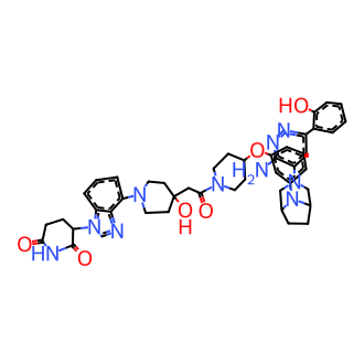 Nc1nnc(-c2ccccc2O)cc1N1CC2CCC(C1)N2c1cccc(OC2CCN(C(=O)CC3(O)CCN(c4cccc5c4ncn5C4CCC(=O)NC4=O)CC3)CC2)c1